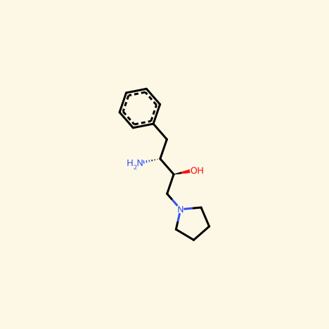 N[C@H](Cc1ccccc1)[C@@H](O)CN1CCCC1